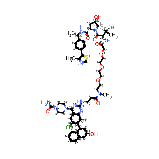 Cc1ncsc1-c1ccc([C@H](C)NC(=O)[C@@H]2C[C@@H](O)CN2C(=O)[C@@H](NC(=O)COCCOCCOCCN(C)C(=O)CCNc2nc(N3CCN(C(N)=O)CC3)c3cc(Cl)c(-c4cc(O)cc5ccccc45)c(F)c3n2)C(C)(C)C)cc1